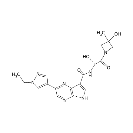 CCn1cc(-c2cnc3[nH]cc(C(=O)N[C@H](O)C(=O)N4CC(C)(O)C4)c3n2)cn1